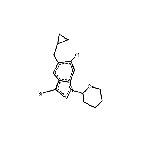 Clc1cc2c(cc1CC1CC1)c(Br)nn2C1CCCCO1